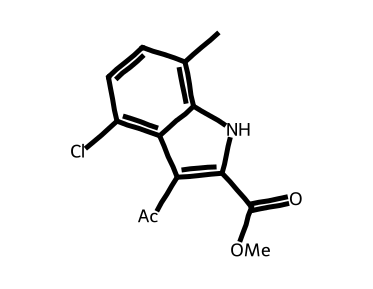 COC(=O)c1[nH]c2c(C)ccc(Cl)c2c1C(C)=O